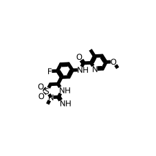 COc1cnc(C(=O)Nc2ccc(F)c(C3CS(=O)(=O)N(C)C(=N)N3)c2)c(C)c1